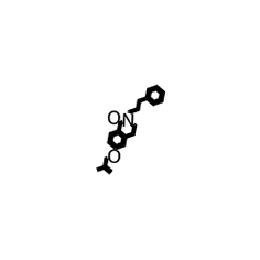 C=C(C)COc1ccc2c(c1)CCN(CCCc1ccccc1)C2=O